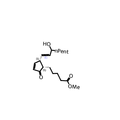 CCCCCC(O)/C=C/[C@H]1C=CC(=O)[C@H]1CCCCC(=O)OC